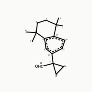 CC1(C)CCC(C)(C)c2cc(C3(C=O)[CH]C3)ccc21